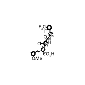 COc1cccc(CC[C@H]2CN(c3ncc(C(=O)Nc4nc(-c5cccc(C(F)(F)F)c5F)cs4)cc3Cl)C[C@@H]2C(=O)O)c1